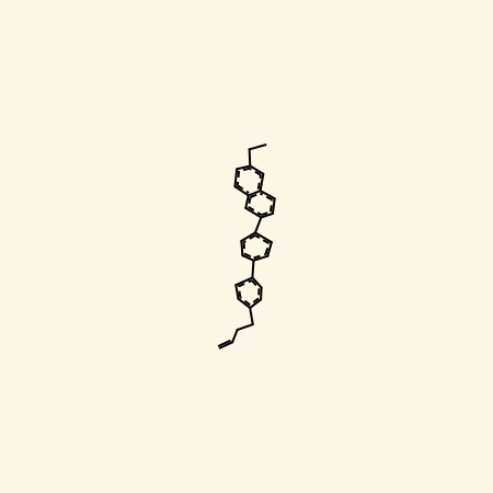 C=CCCc1ccc(-c2ccc(-c3ccc4cc(CC)ccc4c3)cc2)cc1